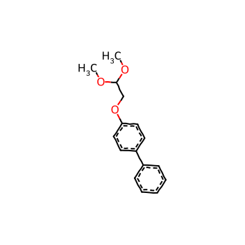 COC(COc1ccc(-c2ccccc2)cc1)OC